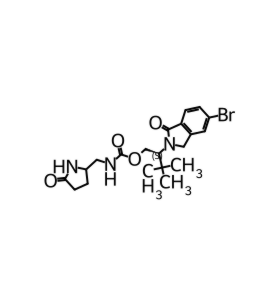 CC(C)(C)[C@@H](COC(=O)NCC1CCC(=O)N1)N1Cc2cc(Br)ccc2C1=O